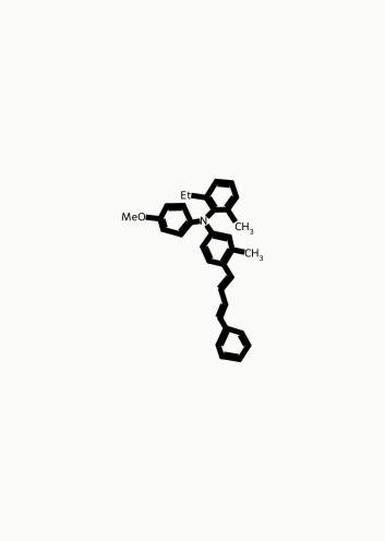 CCc1cccc(C)c1N(c1ccc(OC)cc1)c1ccc(/C=C/C=C/c2ccccc2)c(C)c1